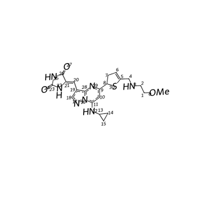 COCCNCC1=CCC(c2cc(NC3CC3)n3ncc(/C=C4\NC(=O)NC4=O)c3n2)S1